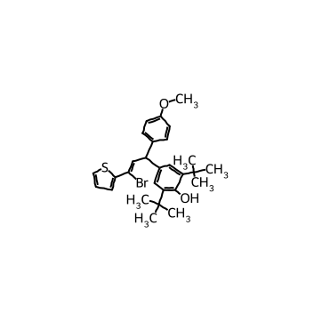 COc1ccc(C(C=C(Br)c2cccs2)c2cc(C(C)(C)C)c(O)c(C(C)(C)C)c2)cc1